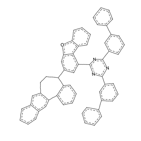 c1ccc(-c2cccc(-c3nc(-c4cccc(-c5ccccc5)c4)nc(-c4cc(C5CCc6cc7ccccc7cc6-c6ccccc65)cc5oc6ccccc6c45)n3)c2)cc1